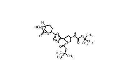 CC(C)(C)OC(=O)N[C@@H]1C[C@H](c2nnc([C@@H]3CC[C@H]4CN3C(=O)N4O)o2)N(C(=O)OC(C)(C)C)C1